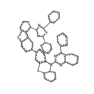 c1ccc(-c2nc(-c3ccccc3)nc(-c3cccc4sc5ccc(-c6ccc7c(c6)Sc6ccccc6N7c6nc(-c7ccccc7)c7ccccc7n6)cc5c34)n2)cc1